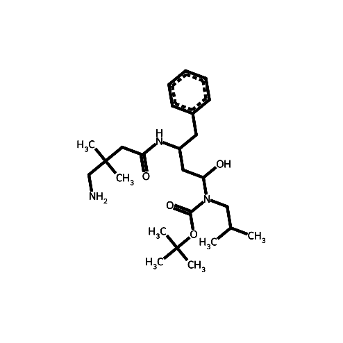 CC(C)CN(C(=O)OC(C)(C)C)C(O)CC(Cc1ccccc1)NC(=O)CC(C)(C)CN